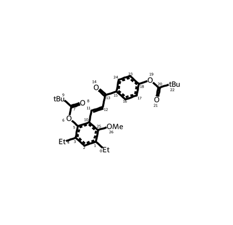 CCc1cc(CC)c(OC(=O)C(C)(C)C)c(C=CC(=O)c2ccc(OC(=O)C(C)(C)C)cc2)c1OC